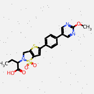 CCC(C(=O)O)N1Cc2sc(-c3ccc(-c4cnc(OC)nc4)cc3)cc2S1(=O)=O